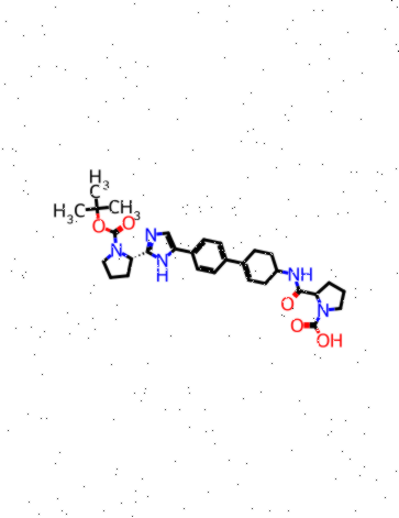 CC(C)(C)OC(=O)N1CCC[C@H]1c1ncc(-c2ccc(C3=CCC(NC(=O)C4CCCN4C(=O)O)CC3)cc2)[nH]1